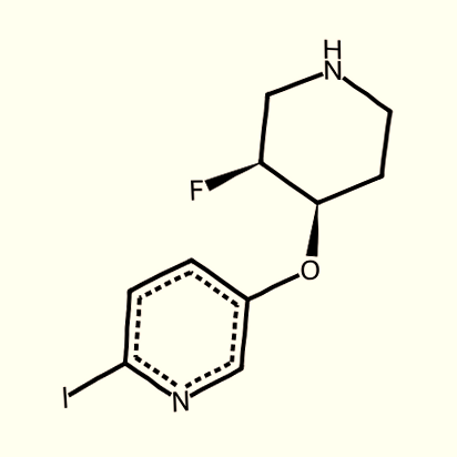 F[C@H]1CNCC[C@H]1Oc1ccc(I)nc1